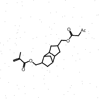 C=C(C)C(=O)OCC1CC2CC1C1CC(COC(=O)CC(C)=O)CC21